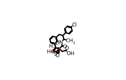 CC(NC(=O)C(C)(CC(=O)O)C(=O)O)C(Cc1cccc(-c2ccsc2)c1)c1ccc(Cl)cc1